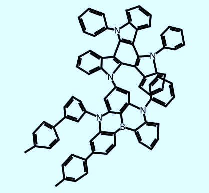 Cc1ccc(-c2cccc(N3c4cc(-c5ccc(C)cc5)ccc4B4c5ccccc5N(c5ccccc5)c5cc(-n6c7ccccc7c7c8c(c9ccccc9n8-c8ccccc8)c8c(c9ccccc9n8-c8ccccc8)c76)cc3c54)c2)cc1